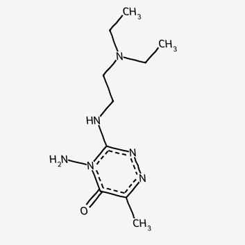 CCN(CC)CCNc1nnc(C)c(=O)n1N